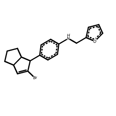 BrC1=CC2CCCC2C1c1ccc(NCc2ccco2)cc1